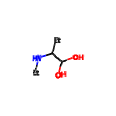 CCNC(CC)C(O)O